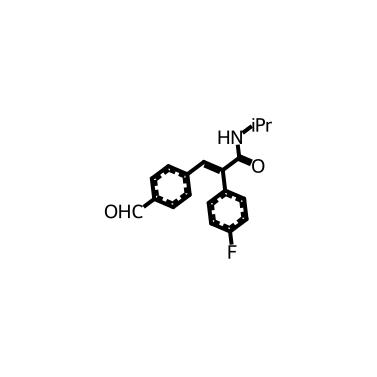 CC(C)NC(=O)/C(=C/c1ccc(C=O)cc1)c1ccc(F)cc1